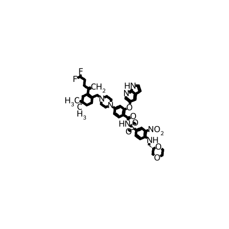 C=C(CCC(F)F)C1=C(CN2CCN(c3ccc(C(=O)NS(=O)(=O)c4ccc(NC[C@H]5COCCO5)c([N+](=O)[O-])c4)c(Oc4cnc5[nH]ccc5c4)c3)CC2)CCC(C)(C)C1